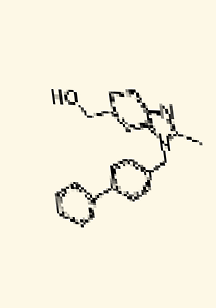 Cc1nc2ccc(CO)cc2n1Cc1ccc(-c2ccccc2)cc1